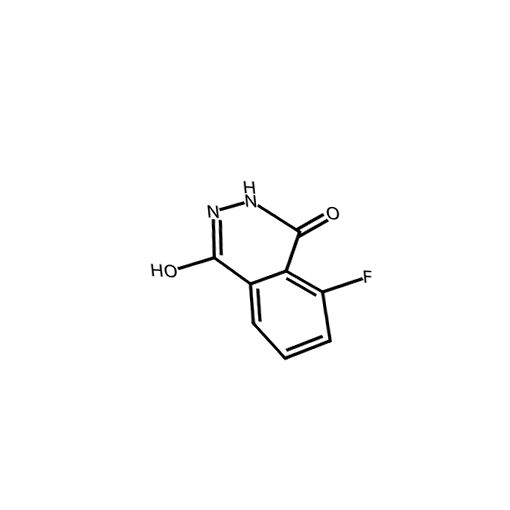 O=c1[nH]nc(O)c2cccc(F)c12